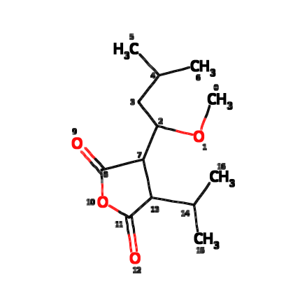 COC(CC(C)C)C1C(=O)OC(=O)C1C(C)C